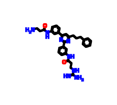 N=C(N)NCCC(=O)Nc1cccc(-c2nc(CCCc3ccccc3)cc(-c3cccc(NC(=O)CCN)c3)n2)c1